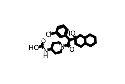 O=C(O)NC1CCN(C(=O)C(c2cccc(Cl)c2)C2(O)CCC3CCCCC3C2)CC1